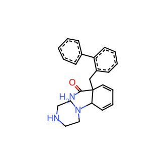 NC(=O)C1(Cc2ccccc2-c2ccccc2)C=CC=CC1N1CCNCC1